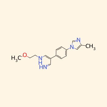 COCCN/C=C(\C=N)c1ccc(-n2cnc(C)c2)cc1